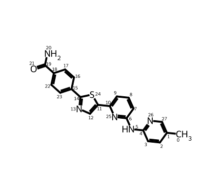 Cc1ccc(Nc2cccc(-c3cnc(-c4ccc(C(N)=O)cc4)s3)n2)nc1